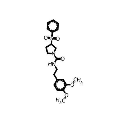 COc1ccc(CCNC(=O)N2CCC(S(=O)(=O)c3ccccc3)C2)cc1OC